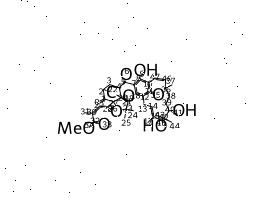 C=C1C2CC3C(=O)c4c(O)c5c(c(CC=C(C)C)c4OC34C(C2)C(C)(C)OC14C/C=C(/C)C(=O)OC)OC(C)(CCC(O)C(C)(C)O)C=C5